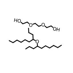 CCCCCCC(CCC)OC(CCC)CCCCCC.OCCOCCOCCO